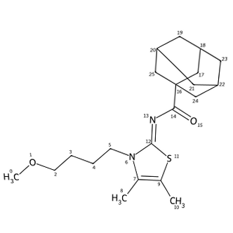 COCCCCn1c(C)c(C)s/c1=N\C(=O)C12CC3CC(CC(C3)C1)C2